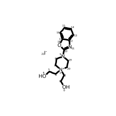 OCC[N+]1(CCO)CCN(c2nc3ccccc3o2)CC1.[I-]